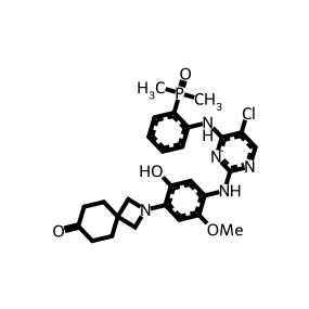 COc1cc(N2CC3(CCC(=O)CC3)C2)c(O)cc1Nc1ncc(Cl)c(Nc2ccccc2P(C)(C)=O)n1